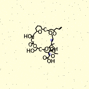 C=CCC1CC2CC3CCCC(C[C@@H](O)CC(=O)OC(CO)CC4C/C(=C\C(=O)O)[C@H](OC(C)=O)C(O)(O4)C(C)(C)/C=C/C(O1)O2)O3